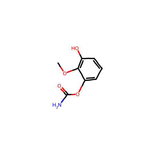 COc1c(O)cccc1OC(N)=O